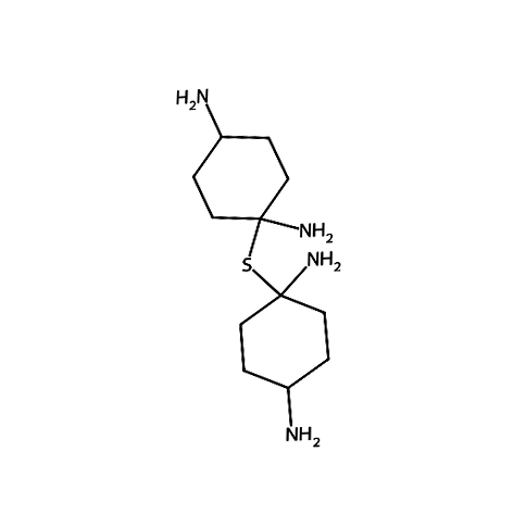 NC1CCC(N)(SC2(N)CCC(N)CC2)CC1